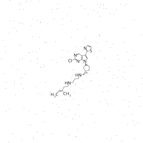 C/C=C(\C)CCNCCCNC[C@@H]1CC[C@H](n2cc(-c3nccs3)c3cnc(Cl)nc32)C1